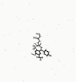 COc1cc2c(cc1C(F)(F)F)N(c1ccc(F)cc1)CC(C)(CCC(O)CO)N(C)S2(=O)=O